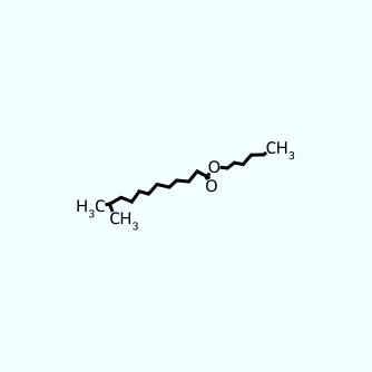 CCCCCCOC(=O)CCCCCCCCCC(C)C